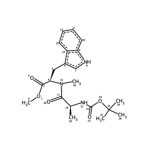 COC(=O)[C@@H](Cc1c[nH]c2ccccc12)N(C)C(=O)[C@H](C)NC(=O)OC(C)(C)C